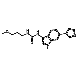 COCCCNC(=O)Nc1n[nH]c2cc(-c3ccsc3)ccc12